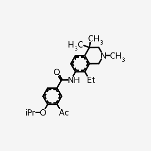 CCc1c(NC(=O)c2ccc(OC(C)C)c(C(C)=O)c2)ccc2c1CN(C)CC2(C)C